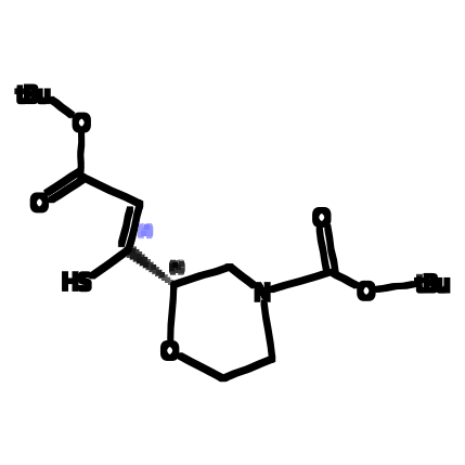 CC(C)(C)OC(=O)/C=C(\S)[C@@H]1CN(C(=O)OC(C)(C)C)CCO1